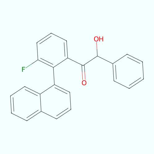 O=C(c1cccc(F)c1-c1cccc2ccccc12)C(O)c1ccccc1